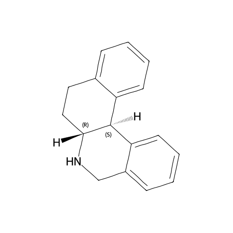 c1ccc2c(c1)CC[C@H]1NCc3ccccc3[C@H]21